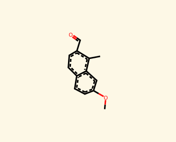 COc1ccc2ccc(C=O)c(C)c2c1